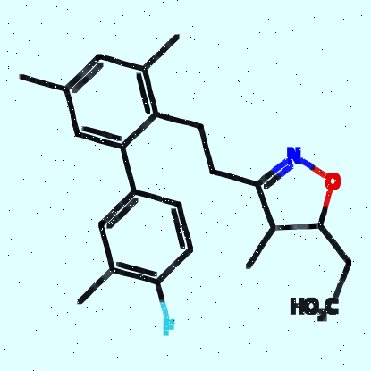 Cc1cc(C)c(CCC2=NOC(CC(=O)O)C2C)c(-c2ccc(F)c(C)c2)c1